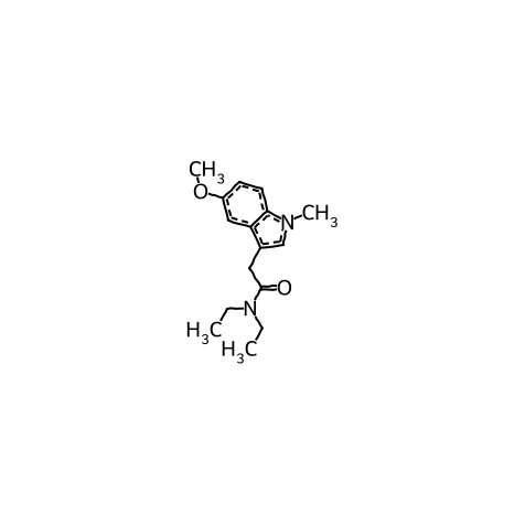 CCN(CC)C(=O)Cc1cn(C)c2ccc(OC)cc12